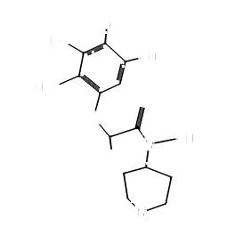 Cc1cc(OC(C)C(=O)N(C)C2CCNCC2)c(C)c(C)c1N